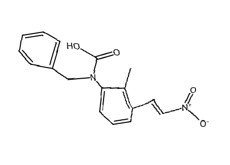 Cc1c(/C=C/[N+](=O)[O-])cccc1N(Cc1ccccc1)C(=O)O